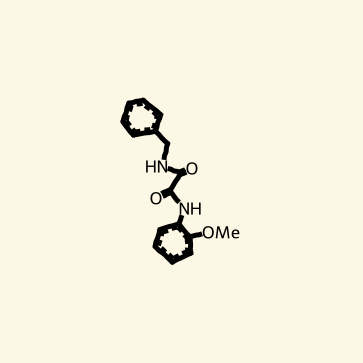 COc1ccccc1NC(=O)C(=O)NCc1ccccc1